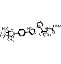 C=C([C@@H](NC(=O)OC)C(C)C)N1CCC[C@H]1c1ncc(-c2ccc(B3OC(C)(C)C(C)(C)O3)cc2)[nH]1